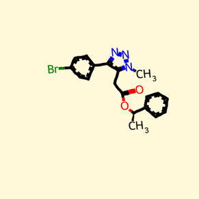 C[C@@H](OC(=O)Cc1c(-c2ccc(Br)cc2)nnn1C)c1ccccc1